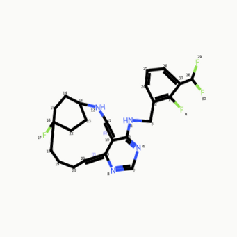 Fc1c(CNc2ncnc3/c2=C\NC2CCC(F)(CCC/C=3)CC2)cccc1C(F)F